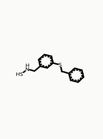 SNCc1cccc(SCc2ccccc2)c1